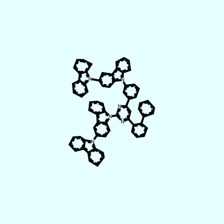 c1ccc(-c2ccccc2-c2cc(-c3cccc(-n4c5ccccc5c5cc(-n6c7ccccc7c7ccccc76)ccc54)c3)nc(-n3c4ccccc4c4cc(-n5c6ccccc6c6ccccc65)ccc43)n2)cc1